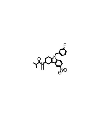 CC(C)C(=O)NC1CCc2c(c3cc([N+](=O)[O-])ccc3n2Cc2cccc(F)c2)C1